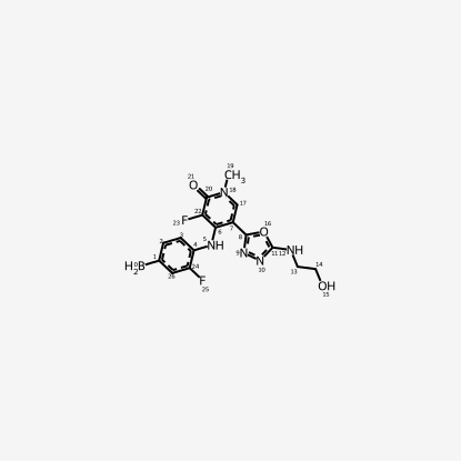 Bc1ccc(Nc2c(-c3nnc(NCCO)o3)cn(C)c(=O)c2F)c(F)c1